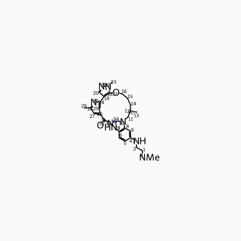 CNCCNc1ccc2c(c1)N1C[C@H](C)CCCOc3c(cnn3C)-c3cc(cc(C)n3)C(=O)/N=C/1N2